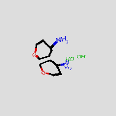 Cl.Cl.NC1CCOCC1.NC1CCOCC1